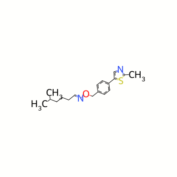 Cc1ncc(-c2ccc(CO/N=C/CCCC(C)C)cc2)s1